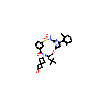 Cc1cccc(C)c1-c1cc2nc(n1)NS(=O)(=O)c1cccc(c1)C(=O)N(C1CC3(CC(=O)C3)C1)[C@H](CC(C)(C)C)CO2